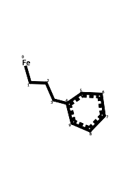 [Fe][CH2]CCc1ccccc1